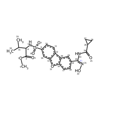 COC(=O)C(NS(=O)(=O)c1ccc2c(c1)oc1ccc(/C(=N\O)NC(=O)C3CC3)cc12)C(C)C